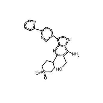 Nc1c(CO)c(C2CCS(=O)(=O)CC2)nc2c(-c3ccc(-c4ccccc4)nc3)cnn12